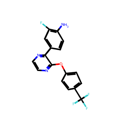 Nc1ccc(-c2nccnc2Oc2ccc(C(F)(F)F)cc2)cc1F